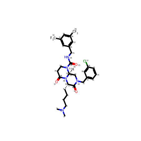 CN(C)CCCC[C@H]1C(=O)N(Cc2cccc(Cl)c2)C[C@@H]2N(C(=O)NCc3cc(C(F)(F)F)cc(C(F)(F)F)c3)CCC(=O)N21